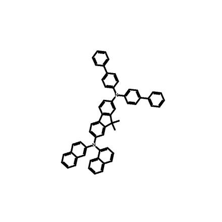 CC1(C)c2cc(N(c3ccc(-c4ccccc4)cc3)c3ccc(-c4ccccc4)cc3)ccc2-c2ccc(N(c3ccc4ccccc4c3)c3cccc4ccccc34)cc21